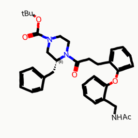 CC(=O)NCc1ccccc1Oc1ccccc1CCC(=O)N1CCN(C(=O)OC(C)(C)C)C[C@H]1Cc1ccccc1